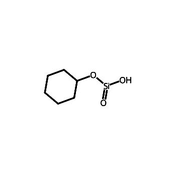 O=[Si](O)OC1CCCCC1